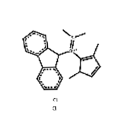 CC1=[C]([Zr+2]([CH]2c3ccccc3-c3ccccc32)=[Si](C)C)C(C)C=C1.[Cl-].[Cl-]